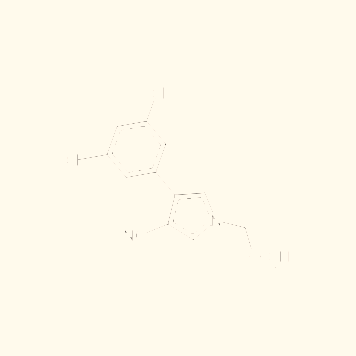 N#Cc1cn(CC(=O)O)cc1-c1cc(Cl)cc(Cl)c1